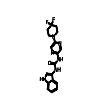 O=C(Nc1cnc(N2CCC(F)(F)CC2)cn1)Nc1c[nH]c2ccccc12